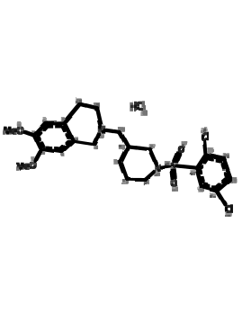 COc1cc2c(cc1OC)CN(CC1CCCN(S(=O)(=O)c3cc(Cl)ccc3Cl)C1)CC2.Cl